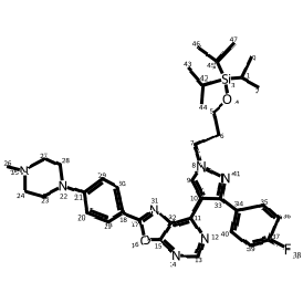 CC(C)[Si](OCCCn1cc(-c2ncnc3oc(-c4ccc(N5CCN(C)CC5)cc4)nc23)c(-c2ccc(F)cc2)n1)(C(C)C)C(C)C